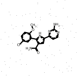 COc1ccc(Cl)cc1-c1[nH]c(-c2ccnc(N)n2)cc1C(N)=O